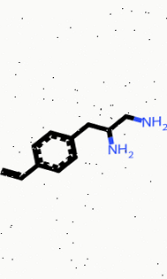 C=Cc1ccc(CC(N)CN)cc1